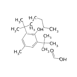 Cc1cc(C(C)(C)C)c(O)c(C(C)(C)C)c1.O=CO.[CH2]CCC